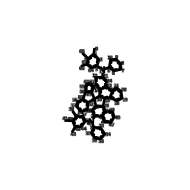 Cc1cc(N(c2ccccc2)c2ccc3c4c(c5ccccc5c3c2)-c2c(cc(N(c3ccccc3)c3cc(C)c(C)c(C)c3)c3ccccc23)C42c3ccccc3-c3ccccc32)cc(C)c1C